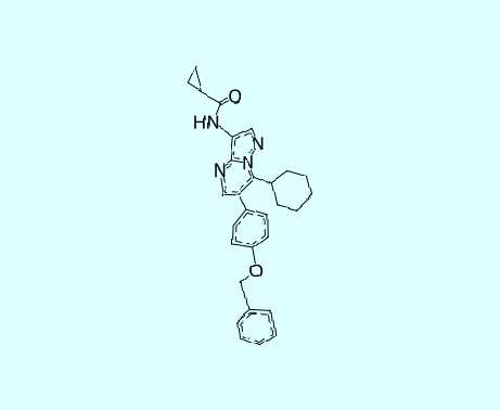 O=C(Nc1cnn2c(C3CCCCC3)c(-c3ccc(OCc4ccccc4)cc3)cnc12)C1CC1